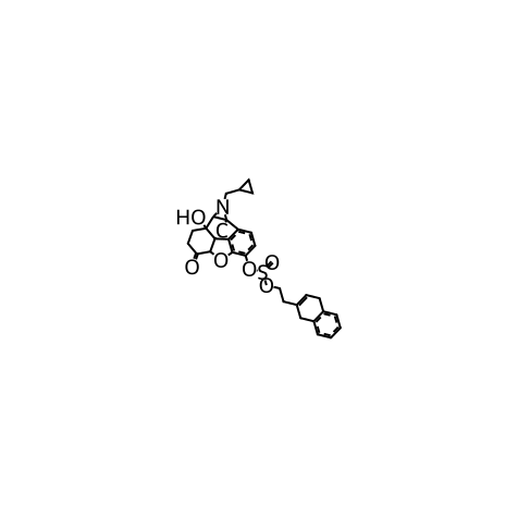 O=C1CCC2(O)C3N(CC4CC4)C34CC23c2c4ccc(OS(=O)OCCC4=CCc5ccccc5C4)c2OC13